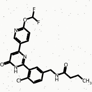 CCCC(=O)NCc1ccc(Cl)c(-c2nc(-c3ccc(OC(F)F)nc3)cc(=O)[nH]2)c1